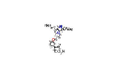 COc1cc(N2CCC(COc3cccc(C(CC(=O)O)C4CC4)c3)CC2)c(CCCC(C)(C)C)cn1